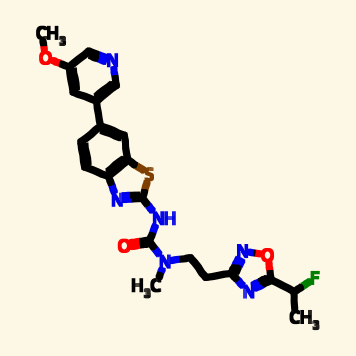 COc1cncc(-c2ccc3nc(NC(=O)N(C)CCc4noc(C(C)F)n4)sc3c2)c1